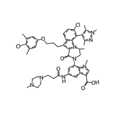 Cc1cc(OCCCc2c3n(c4c(-c5c(C)nn(C)c5C)c(Cl)ccc24)C(C)CN(c2cc(NC(=O)CCN4CCN(C)CC4)cc4c(C(=O)O)cn(C)c24)C3=O)cc(C)c1Cl